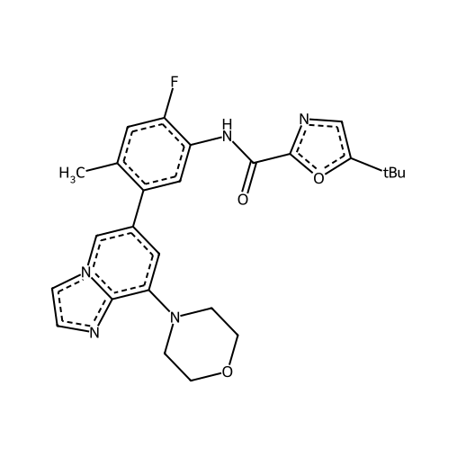 Cc1cc(F)c(NC(=O)c2ncc(C(C)(C)C)o2)cc1-c1cc(N2CCOCC2)c2nccn2c1